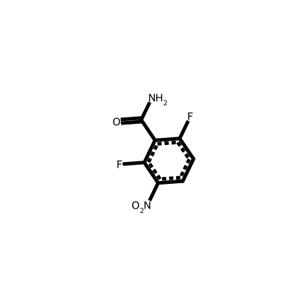 NC(=O)c1c(F)ccc([N+](=O)[O-])c1F